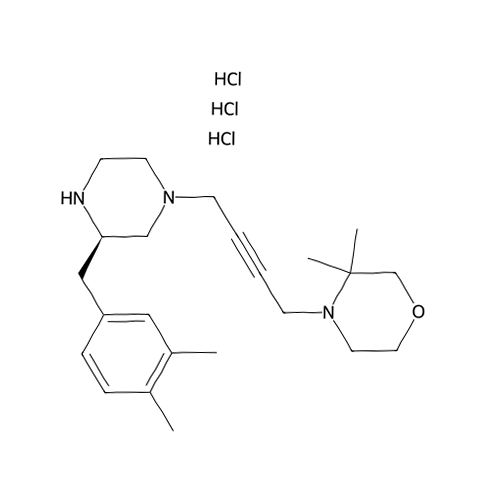 Cc1ccc(C[C@@H]2CN(CC#CCN3CCOCC3(C)C)CCN2)cc1C.Cl.Cl.Cl